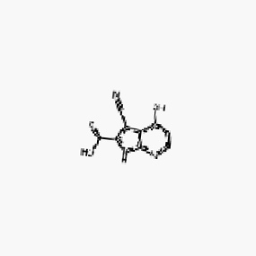 N#Cc1c(C(=O)O)[nH]c2nccc(O)c12